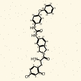 N[C@H](Cc1ccc(Cl)cc1Cl)C(=O)N1Cc2ccc(NC(=O)Nc3ccc(Oc4ccccc4)cc3)cc2C1